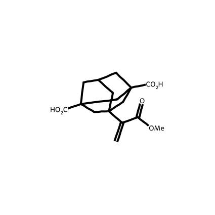 C=C(C(=O)OC)C12CC3CC(C(=O)O)(C1)CC(C(=O)O)(C3)C2